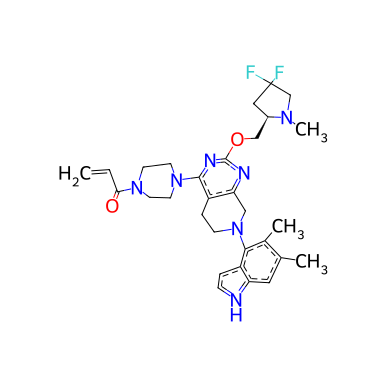 C=CC(=O)N1CCN(c2nc(OC[C@H]3CC(F)(F)CN3C)nc3c2CCN(c2c(C)c(C)cc4[nH]ccc24)C3)CC1